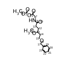 COC(=O)OC(=O)CNC(=O)CCC(CCOCc1ccccc1)OC